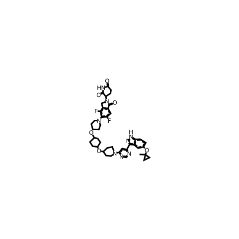 CC1(Oc2ccc3[nH]nc(-c4cc(N5CCC(OC6CCC(OC7CCN(c8c(F)cc9c(c8F)CN(C8CCC(=O)NC8=O)C9=O)CC7)CC6)CC5)ncn4)c3c2)CC1